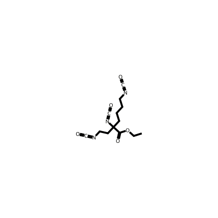 CCOC(=O)C(CCCCN=C=O)(CCN=C=O)N=C=O